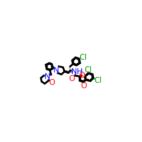 O=C(N[C@H](C=C1CCN(c2ccccc2CN2CCCCC2=O)CC1)Cc1ccc(Cl)cc1)c1cc(=O)c2cc(Cl)cc(Cl)c2o1